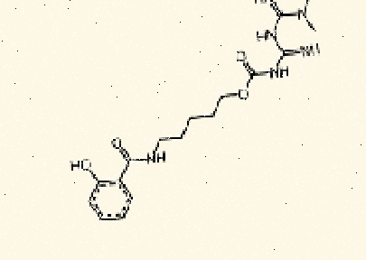 CN(C)C(=N)NC(=N)NC(=O)OCCCCCNC(=O)c1ccccc1O